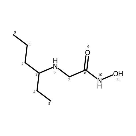 CCCC(CC)NCC(=O)NO